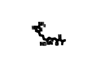 CC(C)NC(=O)Cn1cc(CCCc2c[nH]c(N)n2)nn1.Cl